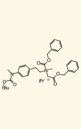 CC(C)[C@@H](C(=O)OCc1ccccc1)[N+](C)(CCc1ccc(N(C)C(=O)OC(C)(C)C)cc1)C(=O)OCc1ccccc1